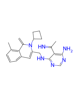 C=C1c2c(C)cccc2C=C(CNc2ncnc(N)c2C(C)=N)N1C1CCC1